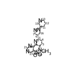 CN1c2ccc(-c3cnn(-c4cccnc4)c3)nc2-c2ncncc2S1(=O)=O